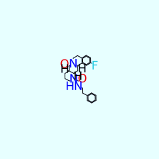 O=C1[C@H]2CCCN(C(=O)NCCc3ccccc3)[C@H]2C[C@H]2c3cc(F)ccc3CCN12